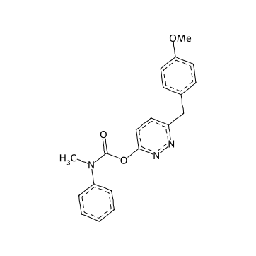 COc1ccc(Cc2ccc(OC(=O)N(C)c3ccccc3)nn2)cc1